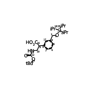 CC(C)[Si](OCc1cccc(C(CNC(=O)OC(C)(C)C)C(=O)O)c1)(C(C)C)C(C)C